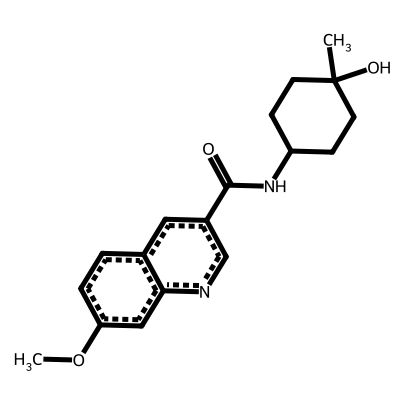 COc1ccc2cc(C(=O)NC3CCC(C)(O)CC3)cnc2c1